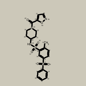 Cc1ccc(S(=O)(=O)c2ccccc2)cc1S(=O)(=O)NC1CCN(C(=O)c2ccno2)CC1